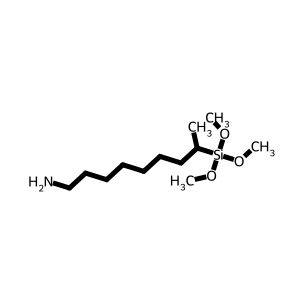 CO[Si](OC)(OC)C(C)CCCCCCCN